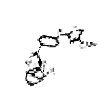 COc1coc(Oc2ccc(C(=O)N[C@@H]3C4CCN(CC4)[C@H]3C)cc2)n1